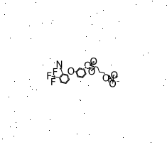 N#Cc1c(Oc2cccc(OS(=O)(=O)CCCO[N+](=O)[O-])c2)cccc1C(F)(F)F